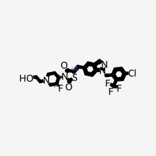 O=C1S/C(=C\c2ccc3c(cnn3Cc3ccc(Cl)cc3C(F)(F)F)c2)C(=O)N1[C@@H]1CCN(CCO)C[C@@H]1F